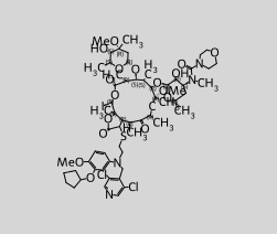 COc1ccc(N(CCSC2C(=O)O[C@@]3(C)[C@H]2[C@@H](C)C(=O)[C@H](C)C[C@@](C)(OC)[C@H](O[C@@H]2O[C@H](C)C[C@H](N(C)C(=O)N4CCOCC4)[C@H]2O)[C@@H](C)[C@H](O[C@H]2C[C@@](C)(OC)[C@@H](O)[C@H](C)O2)[C@@H](C)C(=O)O[C@@H]3I)Cc2c(Cl)cncc2Cl)cc1OC1CCCC1